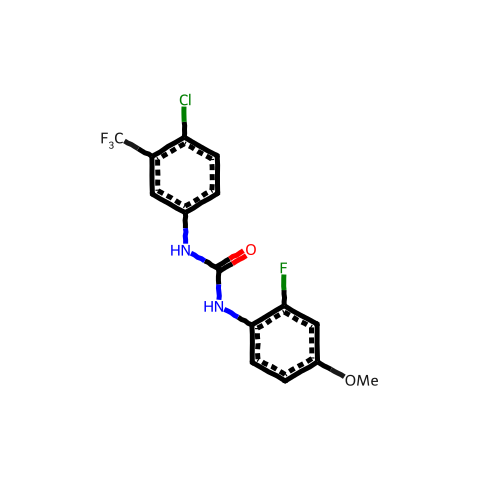 COc1ccc(NC(=O)Nc2ccc(Cl)c(C(F)(F)F)c2)c(F)c1